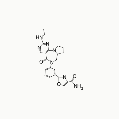 CCNc1ncc2c(n1)N1CCCC1CN(c1cccc(-c3nc(C(N)=O)co3)c1)C2=O